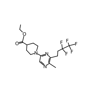 CCOC(=O)C1CCN(c2cnc(C)c(CCC(F)(F)C(F)(F)F)n2)CC1